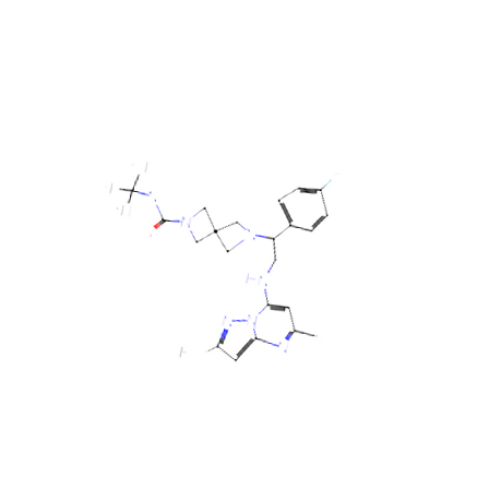 [2H]C([2H])([2H])NC(=O)N1CC2(C1)CN(C(CNc1cc(C(F)(F)F)nc3cc(C(F)(F)F)nn13)c1ccc(F)cc1)C2